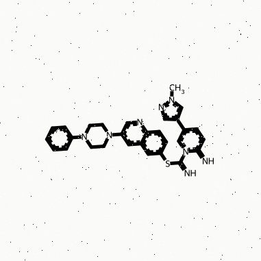 Cn1cc(-c2ccc(=N)n(C(=N)Sc3ccc4ncc(N5CCN(c6ccccc6)CC5)cc4c3)c2)cn1